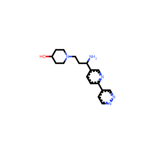 NC(CCN1CCC(O)CC1)c1ccc(-c2ccnnc2)nc1